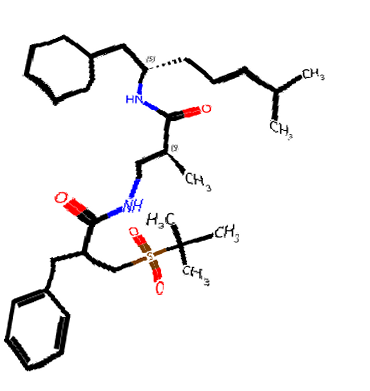 CC(C)CCC[C@@H](CC1CCCCC1)NC(=O)[C@@H](C)CNC(=O)C(Cc1ccccc1)CS(=O)(=O)C(C)(C)C